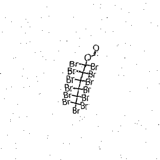 O=[C]OC(Br)(Br)C(Br)(Br)C(Br)(Br)C(Br)(Br)C(Br)(Br)C(Br)(Br)Br